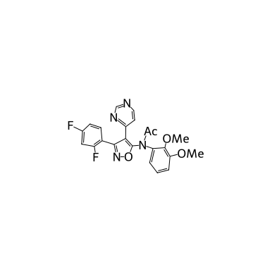 COc1cccc(N(C(C)=O)c2onc(-c3ccc(F)cc3F)c2-c2ccncn2)c1OC